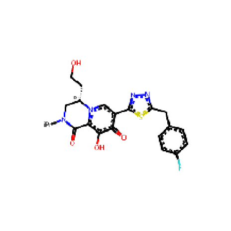 CC(C)N1C[C@H](CCO)n2cc(-c3nnc(Cc4ccc(F)cc4)s3)c(=O)c(O)c2C1=O